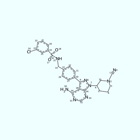 N#CN1CCCC(n2nc(-c3ccc(CNS(=O)(=O)c4cccc(Cl)c4)cc3)c3c(N)ncnc32)C1